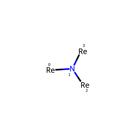 [Re][N]([Re])[Re]